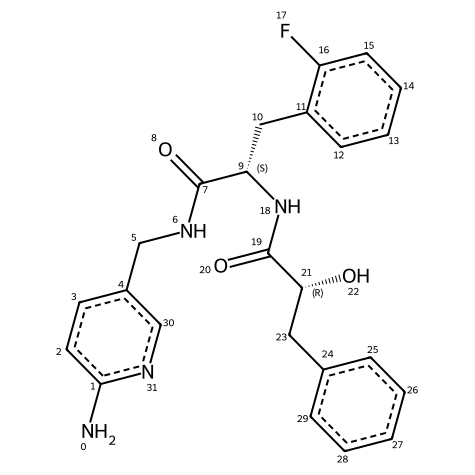 Nc1ccc(CNC(=O)[C@H](Cc2ccccc2F)NC(=O)[C@H](O)Cc2ccccc2)cn1